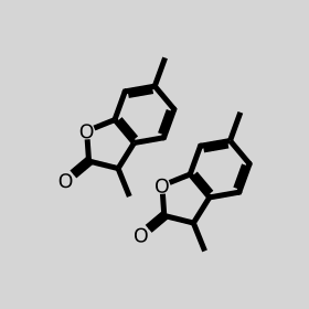 Cc1ccc2c(c1)OC(=O)C2C.Cc1ccc2c(c1)OC(=O)C2C